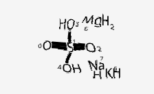 O=S(=O)(O)O.[KH].[MgH2].[NaH]